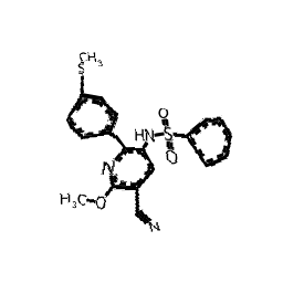 COc1nc(-c2ccc(SC)cc2)c(NS(=O)(=O)c2ccccc2)cc1C#N